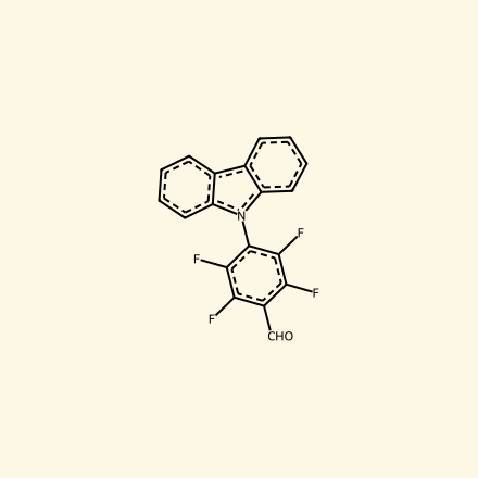 O=Cc1c(F)c(F)c(-n2c3ccccc3c3ccccc32)c(F)c1F